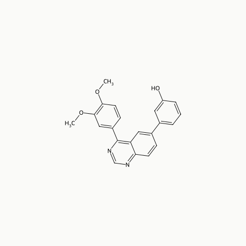 COc1ccc(-c2ncnc3ccc(-c4cccc(O)c4)cc23)cc1OC